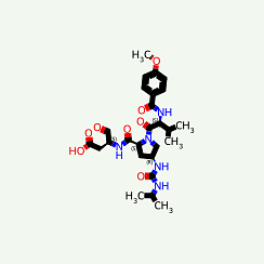 COc1ccc(C(=O)N[C@H](C(=O)N2C[C@H](NC(=O)NC(C)C)C[C@H]2C(=O)N[C@H](C=O)CC(=O)O)C(C)C)cc1